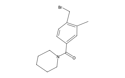 Cc1cc(C(=O)N2CCCCC2)ccc1CBr